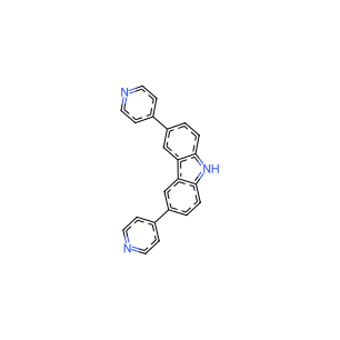 c1cc(-c2ccc3[nH]c4ccc(-c5ccncc5)cc4c3c2)ccn1